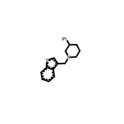 CC(C)C1CCCN(Cc2csc3ccccc23)C1